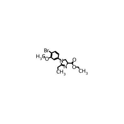 CCOC(=O)C1CN(c2ccc(Br)c(OC)c2)C(CC)=N1